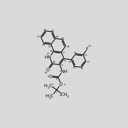 CC(C)(C)OC(=O)Nc1c(-c2cccc(F)c2)c2ccc3ccccc3c2[nH]c1=O